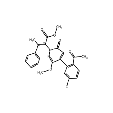 COC(=O)[C@H](C(C)c1ccccc1)n1nc(OC)c(-c2cc(Cl)ccc2C(C)=O)cc1=O